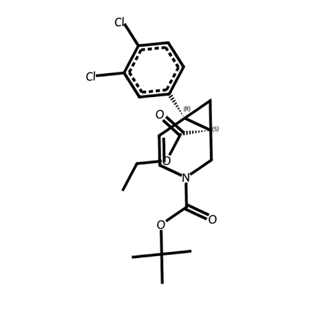 CCOC(=O)[C@]12CN(C(=O)OC(C)(C)C)C=C[C@@]1(c1ccc(Cl)c(Cl)c1)C2